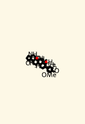 COC(=O)c1ccc(C2=CC[C@]3(C)[C@H]4CC[C@@H]5[C@H]6[C@H](C)CC[C@]6(N)CC[C@@]5(C)[C@]4(C)CC[C@H]3C2(C)C)cc1F